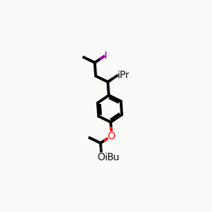 CC(C)COC(C)Oc1ccc(C(CC(C)I)C(C)C)cc1